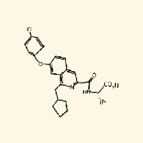 CC(C)[C@H](NC(=O)c1cc2ccc(Oc3ccc(Cl)cc3)cc2c(CC2CCCC2)n1)C(=O)O